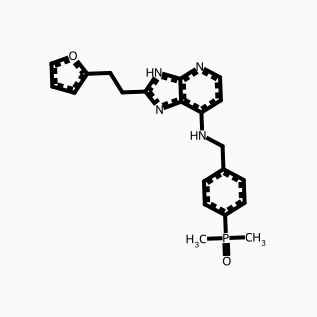 CP(C)(=O)c1ccc(CNc2ccnc3[nH]c(CCc4ccco4)nc23)cc1